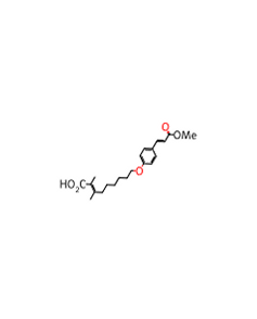 COC(=O)C=Cc1ccc(OCCCCCCC(C)=C(C)C(=O)O)cc1